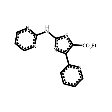 CCOC(=O)c1sc(Nc2ncccn2)nc1-c1ccccn1